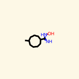 CC1CCCCC(C(=N)NO)CCC1